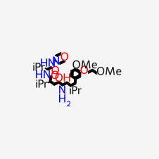 COCCCOc1cc(C[C@@H](C[C@H](N)[C@@H](O)C[C@H](C(=O)N[C@H](C(=O)NN2CCOCC2)C(C)C)C(C)C)C(C)C)ccc1OC